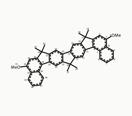 COc1cc2c(c3ccccc13)-c1cc3c(cc1C2(C)C)-c1cc2c(cc1C3(C)C)-c1c(cc(OC)c3ccccc13)C2(C)C